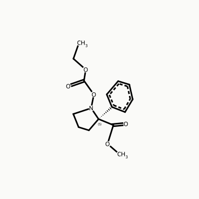 CCOC(=O)ON1CCC[C@@]1(C(=O)OC)c1ccccc1